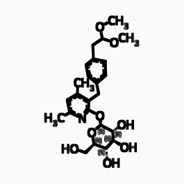 COC(Cc1ccc(Cc2c(C)cc(C)nc2O[C@@H]2O[C@H](CO)[C@@H](O)[C@H](O)[C@H]2O)cc1)OC